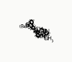 Cc1c(C)n(Cc2ccc(-c3ccccc3C(=O)OC(C)(C)C)cc2)c2cccc(C(=O)N[C@@H](C)c3ccnc(Br)c3)c12